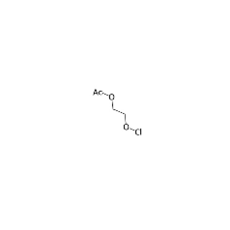 CC(=O)OCCOCl